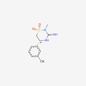 CN1C(=N)N[C@H](c2cccc(C#N)c2)CS1(=O)=O